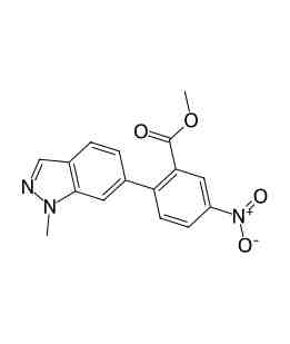 COC(=O)c1cc([N+](=O)[O-])ccc1-c1ccc2cnn(C)c2c1